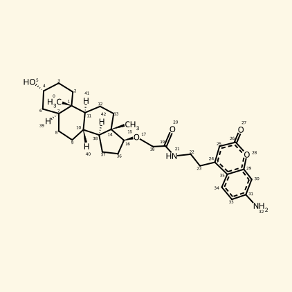 C[C@]12CC[C@@H](O)C[C@@H]1CC[C@@H]1[C@@H]2CC[C@]2(C)[C@@H](OCC(=O)NCCc3cc(=O)oc4cc(N)ccc34)CC[C@@H]12